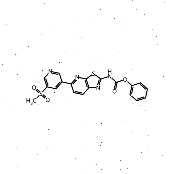 CS(=O)(=O)c1cncc(-c2ccc3nc(NC(=O)Oc4ccccc4)sc3n2)c1